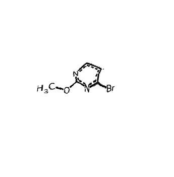 COc1nc[c]c(Br)n1